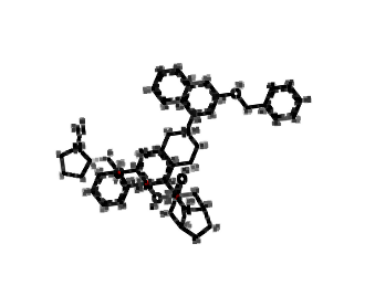 [2H]N1CCC[C@H]1COc1nc2c(c(N3CC4CCC(C3)N4C(=O)OCc3ccccc3)n1)CCN(c1cc(OCc3ccccc3)cc3ccccc13)C2